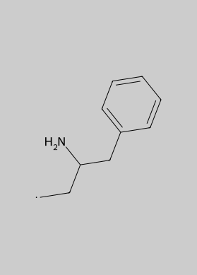 [CH2]CC(N)Cc1ccccc1